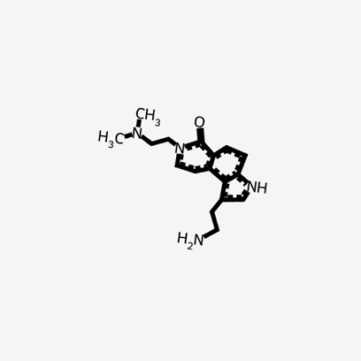 CN(C)CCn1ccc2c(ccc3[nH]cc(CCN)c32)c1=O